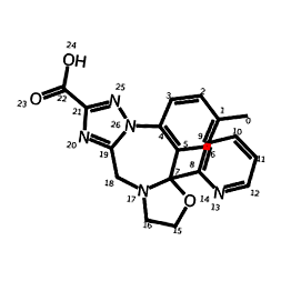 Cc1ccc2c(c1)C1(c3ccccn3)OCCN1Cc1nc(C(=O)O)nn1-2